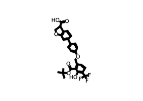 CC(C)(C)OC(=O)c1c(COc2ccc(-c3ccc4c(c3)OCC4C(=O)O)cc2)ccc(C(F)(F)F)c1O